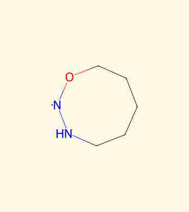 C1CCN[N]OCC1